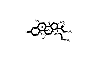 CCC(=O)[C@@]1(OCOC)[C@@H](C)C[C@H]2[C@@H]3C[C@H](C)C4=CC(=O)C=C[C@]4(C)[C@@]3(Br)[C@@H](O)C[C@@]21C